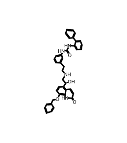 O=C(Nc1cccc(CCNC[C@@H](O)c2ccc(OCc3ccccc3)c3[nH]c(=O)ccc23)c1)Nc1ccccc1-c1ccccc1